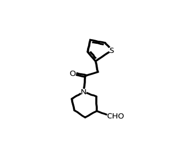 O=CC1CCCN(C(=O)Cc2cccs2)C1